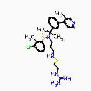 Cc1cnccc1-c1cccc(C(C)(C)N(CCCNSCCNC(=N)N)Sc2cccc(Cl)c2C)c1